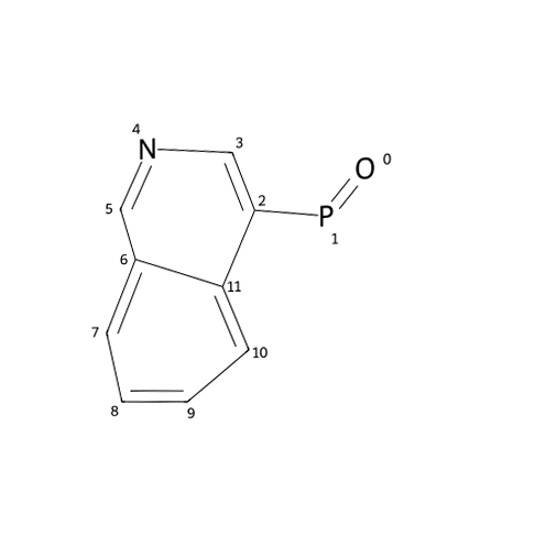 O=Pc1cncc2ccccc12